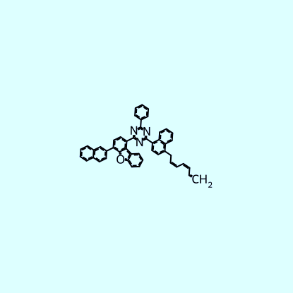 C=C/C=C\C=C/Cc1ccc(-c2nc(-c3ccccc3)nc(-c3ccc(-c4ccc5ccccc5c4)c4oc5ccccc5c34)n2)c2ccccc12